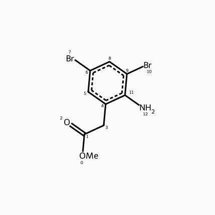 COC(=O)Cc1cc(Br)cc(Br)c1N